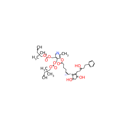 C#CCC(C)(C)COC(=O)OCc1cnc(C)c(OC(=O)CCC/C=C\C[C@@H]2[C@@H](CC[C@@H](O)CCc3ccccc3)[C@H](O)C[C@@H]2O)c1COC(=O)OCC(C)(C)CC#C